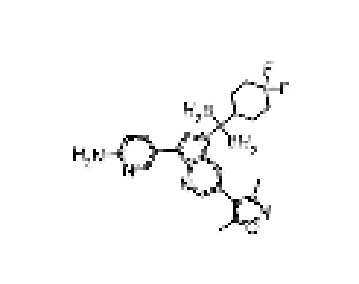 BC(B)(C1CCC(F)(F)CC1)n1cc(-c2ccc(N)nc2)c2ncc(-c3c(C)noc3C)cc21